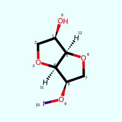 O[C@@H]1CO[C@H]2[C@@H]1OC[C@H]2OI